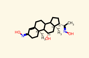 CC(=NO)[C@H]1CCC2C3CCC4=CC(=NO)CC[C@]4(C)C3[C@@H](O)C[C@@]21C